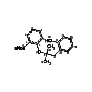 CCCCCCCCCc1ccccc1OC(C)(C)Cc1ccccc1O